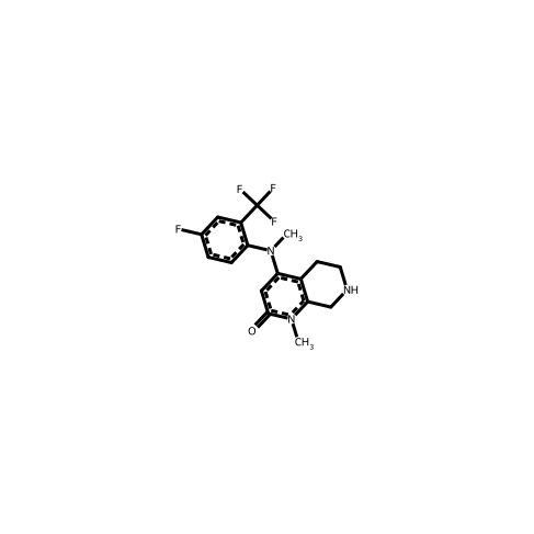 CN(c1ccc(F)cc1C(F)(F)F)c1cc(=O)n(C)c2c1CCNC2